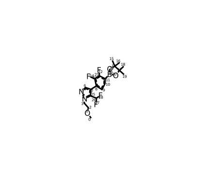 COCCn1ncc(-c2ccc(B3OC(C)(C)C(C)(C)O3)c(F)c2F)c1C(F)F